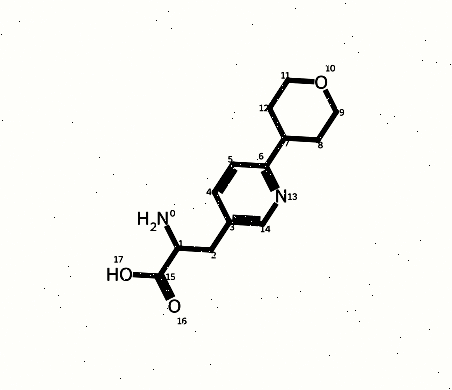 NC(Cc1ccc(C2CCOCC2)nc1)C(=O)O